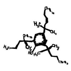 CCCC(C)(C)c1cc(C(C)(C)CCC)c(O)c(C(C)(C)CCC)c1